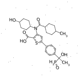 CC1CCC(C(=O)N(c2cc(-c3ccc(C(C)(O)[PH2]=O)cc3)sc2C(=O)O)C2CCC(O)CC2)CC1